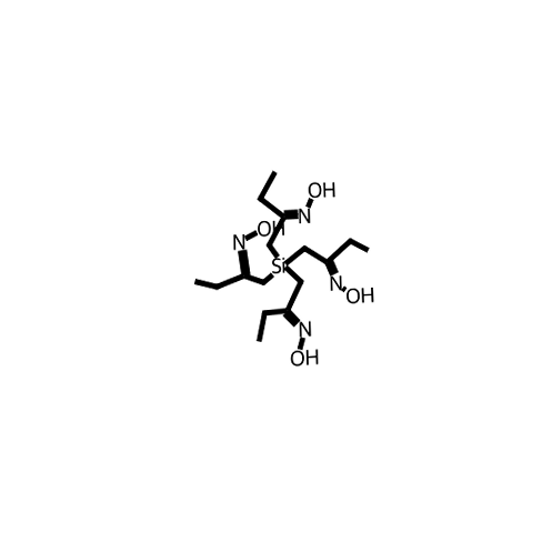 CCC(C[Si](CC(CC)=NO)(CC(CC)=NO)CC(CC)=NO)=NO